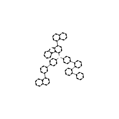 c1ccc(-c2ccccc2-c2ccccc2-c2ccc(N(c3ccc(-c4cccc(-c5cccc6ccccc56)c4)cc3)c3ccc(-c4cccc5ccccc45)c4oc5ccccc5c34)cc2)cc1